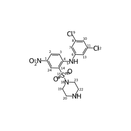 O=[N+]([O-])c1ccc(Nc2cc(Cl)cc(Cl)c2)c(S(=O)(=O)N2CCNCC2)c1